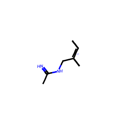 C/C=C(/C)CNC(C)=N